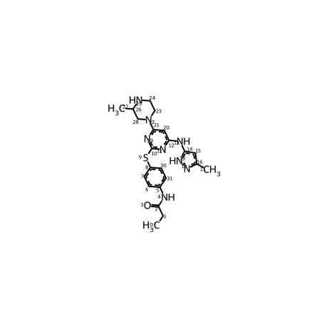 CCC(=O)Nc1ccc(Sc2nc(Nc3cc(C)n[nH]3)cc(N3CCNC(C)C3)n2)cc1